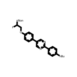 CCCCCCCCCC(F)COc1ccc(-c2cnc(-c3ccc(CCCC)cc3)nc2)cc1